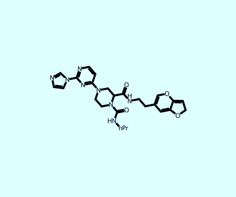 CCCNC(=O)N1CCN(c2ccnc(-n3ccnc3)n2)CC1C(=O)NCCC1=COC2=CCOC2=C1